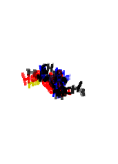 CC(C)C[C@H](NC(=O)[C@H](Cc1ccc(O)cc1)NC(=O)[C@H](CN)NC(=O)[C@@H]1CCCN1C(=O)[C@@H](N)CC(C)C)C(=O)N[C@@H](CS)C(=O)O